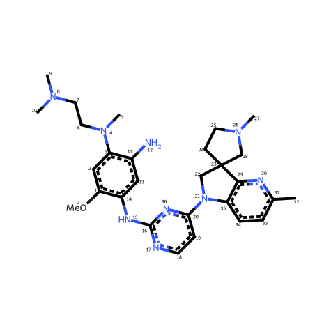 COc1cc(N(C)CCN(C)C)c(N)cc1Nc1nccc(N2CC3(CCN(C)C3)c3nc(C)ccc32)n1